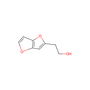 OCCc1cc2occc2o1